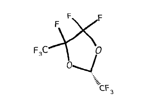 FC(F)(F)[C@H]1OC(F)(F)C(F)(C(F)(F)F)O1